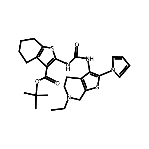 CCN1CCc2c(sc(-n3cccc3)c2NC(=O)Nc2sc3c(c2C(=O)OC(C)(C)C)CCCC3)C1